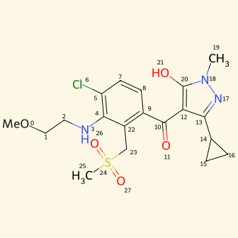 COCCNc1c(Cl)ccc(C(=O)c2c(C3CC3)nn(C)c2O)c1CS(C)(=O)=O